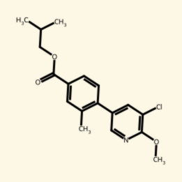 COc1ncc(-c2ccc(C(=O)OCC(C)C)cc2C)cc1Cl